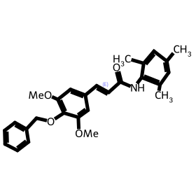 COc1cc(/C=C/C(=O)Nc2c(C)cc(C)cc2C)cc(OC)c1OCc1ccccc1